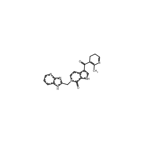 CC1=C(C(=O)c2c[nH]c3c(=O)n(Cc4nc5ncccc5[nH]4)ccc23)CCC=N1